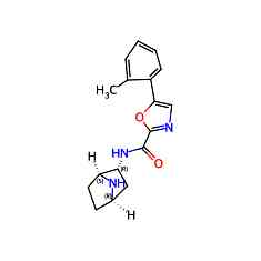 Cc1ccccc1-c1cnc(C(=O)N[C@@H]2C[C@H]3CC[C@@H]2N3)o1